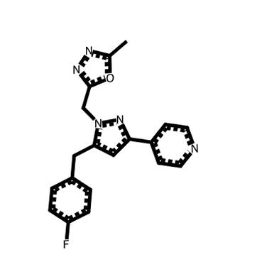 Cc1nnc(Cn2nc(-c3ccncc3)cc2Cc2ccc(F)cc2)o1